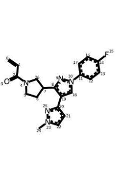 C=CC(=O)N1CCC(c2nn(-c3ccc(F)cc3)cc2-c2ccn(C)n2)C1